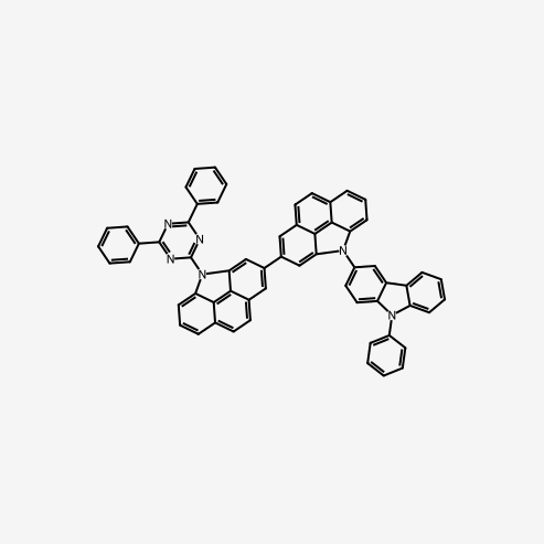 c1ccc(-c2nc(-c3ccccc3)nc(-n3c4cccc5ccc6cc(-c7cc8ccc9cccc%10c9c8c(c7)n%10-c7ccc8c(c7)c7ccccc7n8-c7ccccc7)cc3c6c54)n2)cc1